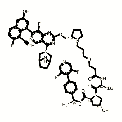 C#Cc1c(F)ccc2cc(O)cc(-c3ncc4c(N5CC6CCC(C5)N6)nc(OC[C@@H]5CCCN5CCCOCCC(=O)N[C@H](C(=O)N5C[C@H](O)C[C@H]5C(=O)N[C@@H](C)c5ccc(-c6c(F)cncc6F)cc5)C(C)(C)C)nc4c3F)c12